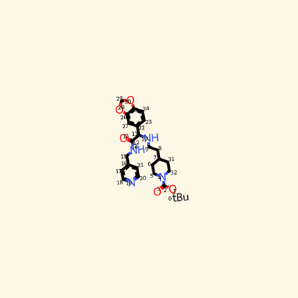 CC(C)(C)OC(=O)N1CCC(CCNC(C(=O)NCc2ccncc2)c2ccc3c(c2)OCO3)CC1